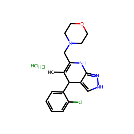 Cl.Cl.N#CC1=C(CN2CCOCC2)Nc2n[nH]cc2C1c1ccccc1Cl